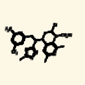 CCOC(=O)N1c2c(cc(C)nc2C)C(N(Cc2cc(C(F)(F)F)cc(C(F)(F)F)c2)c2nnn(C)n2)CC1CC